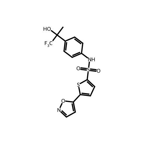 CC(O)(c1ccc(NS(=O)(=O)c2ccc(-c3ccno3)s2)cc1)C(F)(F)F